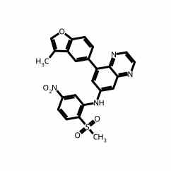 Cc1coc2ccc(-c3cc(Nc4cc([N+](=O)[O-])ccc4S(C)(=O)=O)cc4nccnc34)cc12